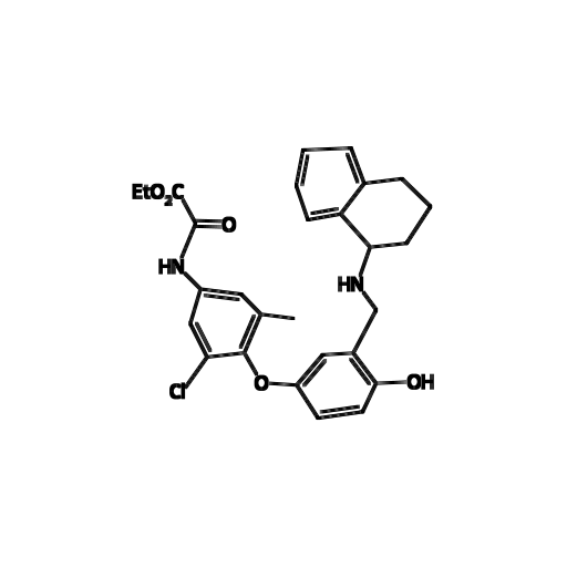 CCOC(=O)C(=O)Nc1cc(C)c(Oc2ccc(O)c(CNC3CCCc4ccccc43)c2)c(Cl)c1